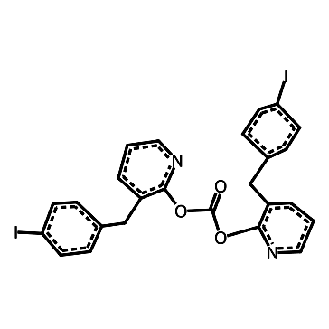 O=C(Oc1ncccc1Cc1ccc(I)cc1)Oc1ncccc1Cc1ccc(I)cc1